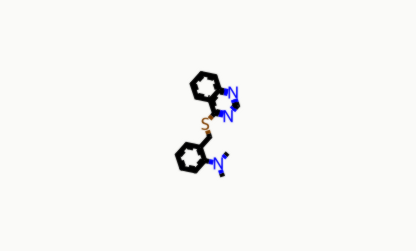 CN(C)c1ccccc1CSc1ncnc2ccccc12